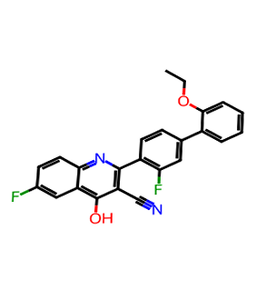 CCOc1ccccc1-c1ccc(-c2nc3ccc(F)cc3c(O)c2C#N)c(F)c1